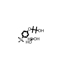 CC(C)(O)C(C)(C)Oc1ccc([Si](C)(C)C)cc1.OBO